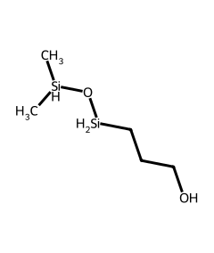 C[SiH](C)O[SiH2]CCCO